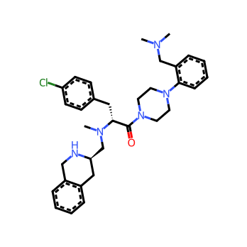 CN(C)Cc1ccccc1N1CCN(C(=O)[C@@H](Cc2ccc(Cl)cc2)N(C)C[C@H]2Cc3ccccc3CN2)CC1